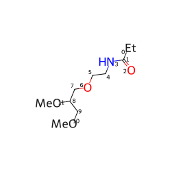 CCC(=O)NCCOCC(COC)OC